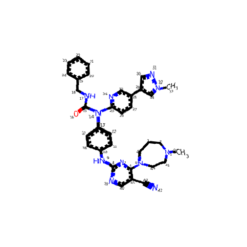 CN1CCCN(c2nc(Nc3ccc(N(C(=O)NCc4ccccc4)c4ccc(-c5cnn(C)c5)cn4)cc3)ncc2C#N)CC1